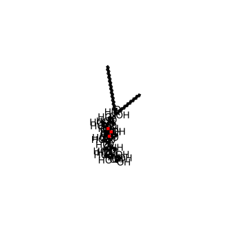 CCCCCCCCCCCCC/C=C/[C@@H](O)[C@H](CO[C@@H]1OC(CO)[C@@H](O[C@@H]2OC(CO)[C@H](O)[C@H](O[C@@H]3OC(CO)[C@@H](O[C@@H]4OC(CO)[C@H](O)[C@H](O[C@H]5OC(CO)[C@H](O)[C@H](O[C@@H]6OC(CO)[C@H](O)[C@H](O)C6O[C@H]6OC(C)[C@@H](O)C(O)[C@@H]6O)C5NC(C)=O)C4O[C@H]4OC(C)[C@@H](O)C(O)[C@@H]4O)[C@H](O)C3NC(C)=O)C2O)[C@H](O)C1O)NC(=O)CCCCCCCCCCCCCCCCCCCCCCC